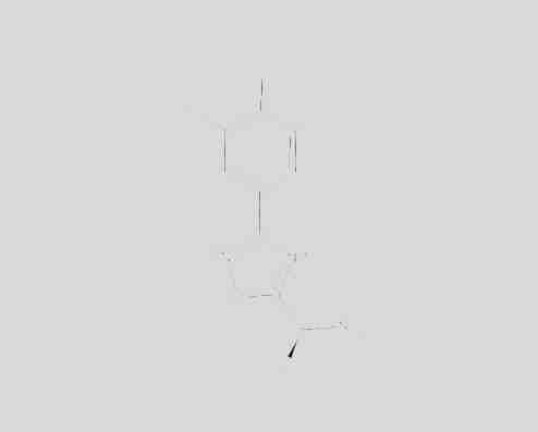 C[C@H](N)c1nc(-c2ccc(Cl)c(C(F)(F)F)c2)no1